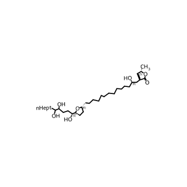 CCCCCCCC(O)C(O)CC[C@H](O)[C@@H]1CC[C@@H](CCCCCCCCCCCC[C@@H](O)CC2=C[C@H](C)OC2=O)O1